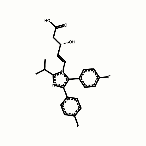 CC(C)c1nc(-c2ccc(F)cc2)c(-c2ccc(F)cc2)n1/C=C/[C@@H](O)CC(=O)O